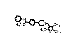 Cc1nn(C)c(C)c1CN1CCC(c2ccc(C(=O)Nc3ccccc3N)cc2)CC1